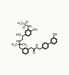 CC(C)(Cc1cccc(CC(=O)NCc2ccc(-c3cccc(O)c3)cc2)c1)NC[C@H](O)c1ccc(O)c(NS(C)(=O)=O)c1